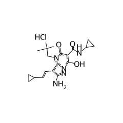 CC(C)(C)Cn1c(=O)c(C(=O)NC2CC2)c(O)n2nc(N)c(C=CC3CC3)c12.Cl